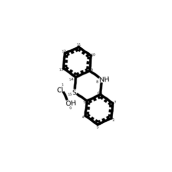 OCl.c1ccc2c(c1)Nc1ccccc1S2